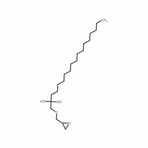 CCCCCCCCCCCCCCCCC(O)(O)COCC1CO1